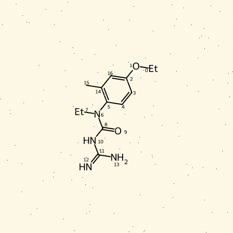 CCOc1ccc(N(CC)C(=O)NC(=N)N)c(C)c1